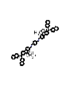 CC1(C)c2cc(/C=C/C3C=CC(/C=C/c4ccc5c(c4)C(C)(C)c4cc(N(c6ccc7ccccc7c6)c6ccc7ccccc7c6)ccc4-5)=CC3)ccc2-c2ccc(N(c3ccc4c(c3)CCC=C4)c3ccc4ccccc4c3)cc21